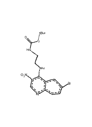 CC(C)(C)OC(=O)NCCNc1c([N+](=O)[O-])cnc2ccc(Br)cc12